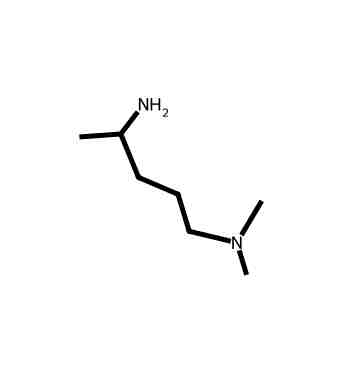 CC(N)CCCN(C)C